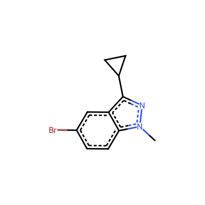 Cn1nc(C2CC2)c2cc(Br)ccc21